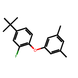 Cc1cc(C)cc(Oc2ccc(C(C)(C)C)cc2F)c1